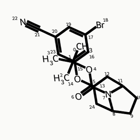 CC(C)(C)OC(=O)N1C2CCC1CC(Oc1cc(Br)cc(C#N)c1)C2